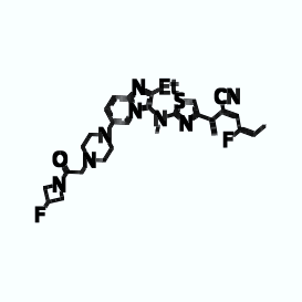 C=C(/C(C#N)=C\C(F)=C/C)c1csc(N(C)c2c(CC)nc3ccc(N4CCN(CC(=O)N5CC(F)C5)CC4)cn23)n1